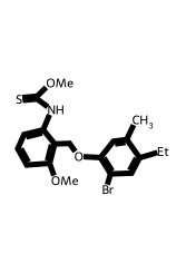 CCc1cc(Br)c(OCc2c(NC(=S)OC)cccc2OC)cc1C